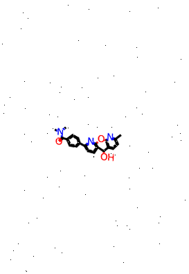 Cc1ccc2c(n1)Oc1nc(-c3ccc(C(=O)N(C)C)cc3)ccc1C2O